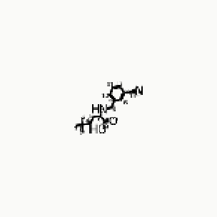 CC(C)(C)CCC(NCc1cccc(C#N)c1)C(=O)O